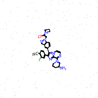 N#Cc1ccc(-c2nc3c(N4CCC[C@@H](N)C4)nccn3c2-c2ccc3c(cnn3CC(=O)N3CCC3)c2)cc1F